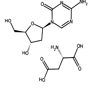 N[C@@H](CC(=O)O)C(=O)O.Nc1ncn([C@H]2C[C@H](O)[C@@H](CO)O2)c(=O)n1